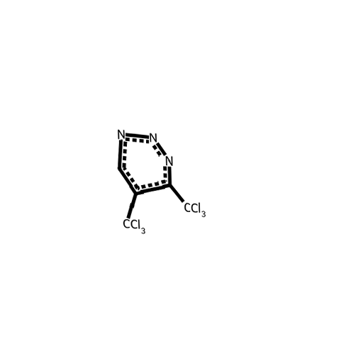 ClC(Cl)(Cl)c1cnnnc1C(Cl)(Cl)Cl